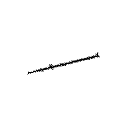 CCCCCCCCC=CCCCCCCCCCC(=O)OCCCCCCCCCCCCCCCCCCCCCCCCCCCCCCCCCCCCC(C)CC